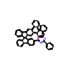 c1ccc(-c2nc(-c3ccccc3)nc(-c3ccc4c(c3)C3(c5ccccc5-4)c4ccccc4-c4cc5c6ccccc6c6ccccc6c5cc43)n2)cc1